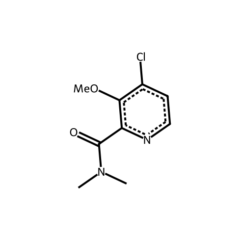 COc1c(Cl)ccnc1C(=O)N(C)C